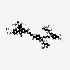 CCn1nc(C)cc1C(=O)Nc1nc2cc(C(N)=O)ccc2n1CCCCn1c(NC(=O)c2cc(C)nn2CC)nc2cc(C(=O)NCCNC(=O)c3ccc4c(c3)C(=O)OC43c4ccc(N)c(S(=O)O)c4Oc4c3ccc(N)c4S(=O)(=O)O)ccc21